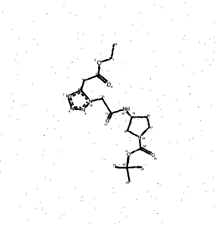 CCOC(=O)Cc1nnnn1CC(=O)N[C@H]1CCN(C(=O)OC(C)(C)C)C1